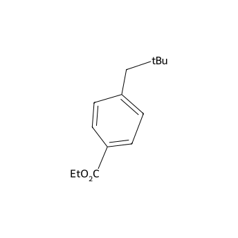 CCOC(=O)c1ccc(CC(C)(C)C)cc1